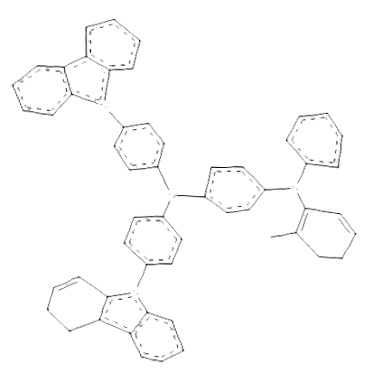 CC1=C(N(c2ccccc2)c2ccc(N(c3ccc(-n4c5c(c6ccccc64)CCC=C5)cc3)c3ccc(-n4c5ccccc5c5ccccc54)cc3)cc2)C=CCC1